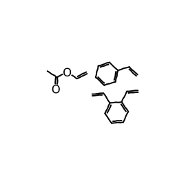 C=COC(C)=O.C=Cc1ccccc1.C=Cc1ccccc1C=C